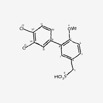 COc1ccc(CS(=O)(=O)O)cc1-c1ccc(Cl)c(Cl)c1